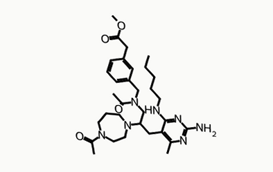 CCCCCNc1nc(N)nc(C)c1CC(CN(Cc1cccc(CC(=O)OC)c1)C(C)=O)N1CCCN(C(C)=O)CC1